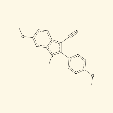 COc1ccc(-c2c(C#N)c3ccc(OC)cc3n2C)cc1